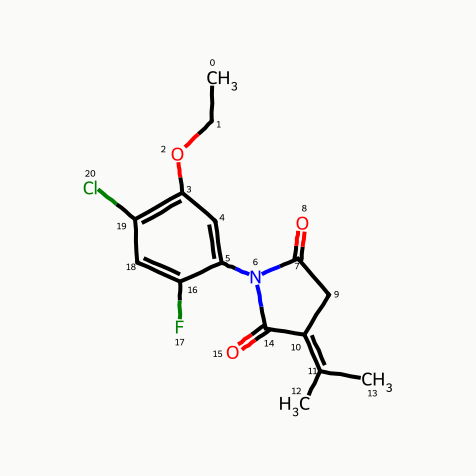 CCOc1cc(N2C(=O)CC(=C(C)C)C2=O)c(F)cc1Cl